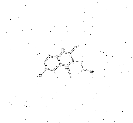 O=c1[nH]c2ccc(Cl)cc2c(=O)n1CCS